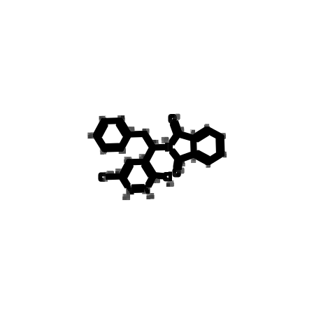 O=C1c2ccccc2C(=O)N1C(Cc1ccccc1)c1cc(Cl)nnc1Cl